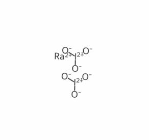 [O-][I+2]([O-])[O-].[O-][I+2]([O-])[O-].[Ra+2]